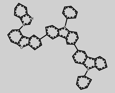 c1ccc(-n2c3ccccc3c3cc(-c4ccc5c(c4)c4cc(-c6ccc7oc8cccc(-n9cnc%10ccccc%109)c8c7c6)ccc4n5-c4ccccc4)ccc32)cc1